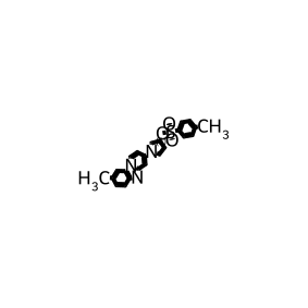 Cc1ccc(S(=O)(=O)O[C@H]2CCN(c3ccn4c(c3)nc3ccc(C)cc34)C2)cc1